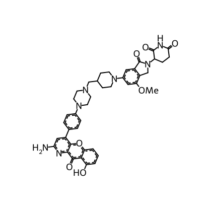 COc1cc(N2CCC(CN3CCN(c4ccc(-c5cc(N)nc6c(=O)c7c(O)cccc7oc56)cc4)CC3)CC2)cc2c1CN(C1CCC(=O)NC1=O)C2=O